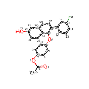 CCC(=O)Oc1ccc(Oc2c(-c3cccc(F)c3)ccc3cc(O)ccc23)cc1